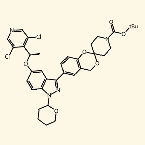 C[C@@H](Oc1ccc2c(c1)c(-c1ccc3c(c1)COC1(CCN(C(=O)OC(C)(C)C)CC1)O3)nn2C1CCCCO1)c1c(Cl)cncc1Cl